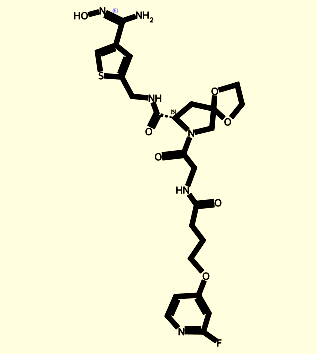 N/C(=N/O)c1csc(CNC(=O)[C@@H]2CC3(CN2C(=O)CNC(=O)CCCOc2ccnc(F)c2)OCCO3)c1